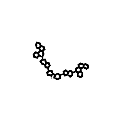 c1ccc2c(c1)ccc1cc(-c3ccc4cc(-c5ccc6oc7ccc(-c8ccc9cc(-c%10cc%11ccc%12ccccc%12c%11c%11ccccc%10%11)ccc9c8)cc7c6c5)ccc4c3)c3ccccc3c12